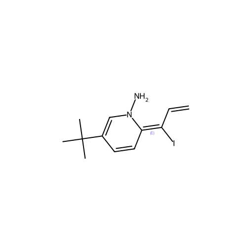 C=C/C(I)=C1/C=CC(C(C)(C)C)=CN1N